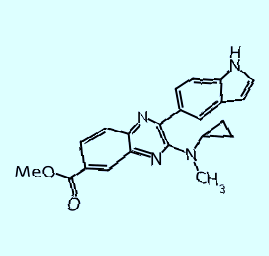 COC(=O)c1ccc2nc(-c3ccc4[nH]ccc4c3)c(N(C)C3CC3)nc2c1